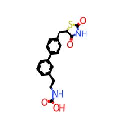 O=C(O)NCCc1cccc(-c2ccc(CC3SC(=O)NC3=O)cc2)c1